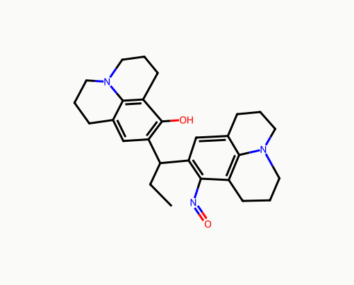 CCC(c1cc2c3c(c1O)CCCN3CCC2)c1cc2c3c(c1N=O)CCCN3CCC2